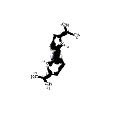 N#CC(C#N)=c1cc/c(=c2/ccc(=C(C#N)C#N)s2)s1